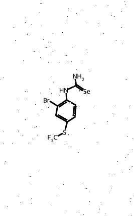 NC(=[Se])Nc1ccc(SC(F)(F)F)cc1Br